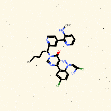 CC(C)CCCC(c1cc(-c2ncccc2NC=O)ccn1)n1cnc(-c2cc(Cl)ccc2N(N)/C=C(\N)Cl)cc1=O